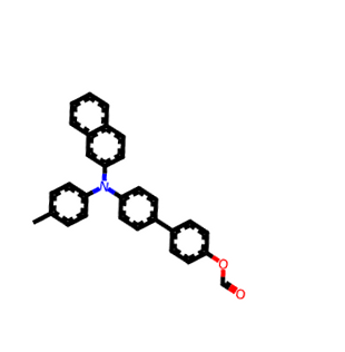 Cc1ccc(N(c2ccc(-c3ccc(OC=O)cc3)cc2)c2ccc3ccccc3c2)cc1